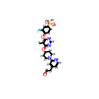 Cc1c(Oc2ccc(S(C)(=O)=O)cc2F)ncnc1OC1CCN(c2cc(CC=O)ccn2)CC1